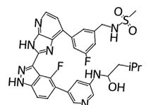 CC(C)CC(O)Nc1cncc(-c2ccc3[nH]nc(-c4nc5c(-c6cc(F)cc(CNS(C)(=O)=O)c6)ccnc5[nH]4)c3c2F)c1